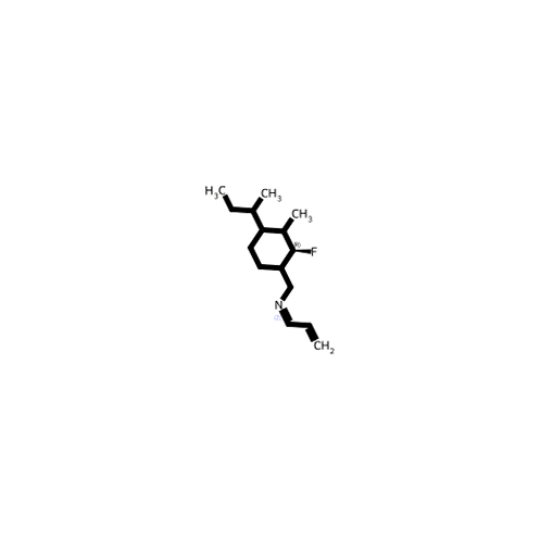 C=C/C=N\CC1CCC(C(C)CC)C(C)[C@H]1F